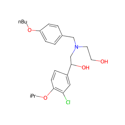 CCCCOc1ccc(CN(CCO)CC(O)c2ccc(OC(C)C)c(Cl)c2)cc1